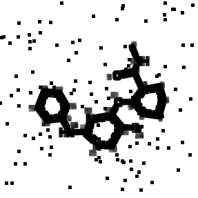 CNC(=O)c1ccccc1Oc1nc(Nc2ccccc2)ncc1Br